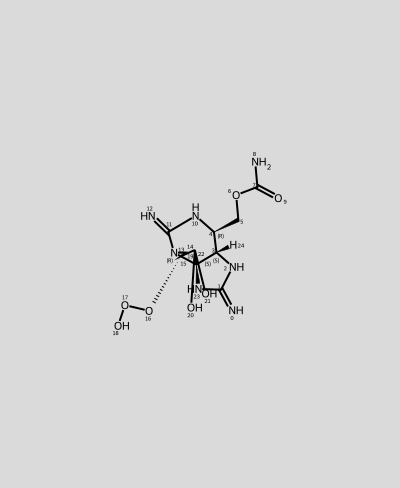 N=C1N[C@H]2[C@H](COC(N)=O)NC(=N)N3C[C@@H](OOO)C(O)(O)[C@]23N1